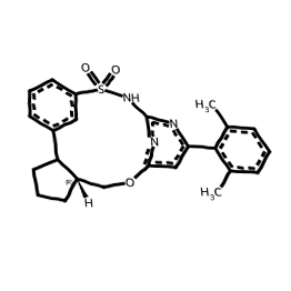 Cc1cccc(C)c1-c1cc2nc(n1)NS(=O)(=O)c1cccc(c1)C1CCC[C@H]1CO2